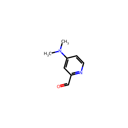 CN(C)c1ccnc(C=O)c1